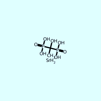 CC(O)(P(=O)(O)O)P(=O)(O)O.[SrH2]